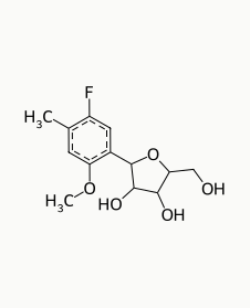 COc1cc(C)c(F)cc1C1OC(CO)C(O)C1O